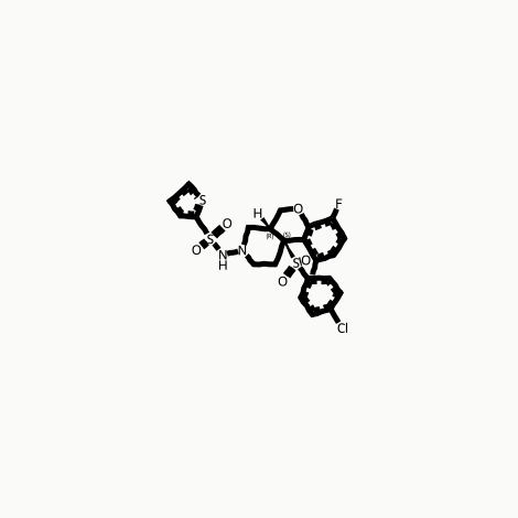 O=S(=O)(NN1CC[C@@]2(S(=O)(=O)c3ccc(Cl)cc3)c3c(F)ccc(F)c3OC[C@H]2C1)c1cccs1